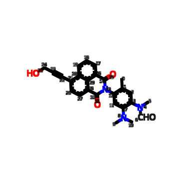 Cc1cc(N(C)C=O)c(N(C)C)cc1N1C(=O)c2cccc3c(C#CCO)ccc(c23)C1=O